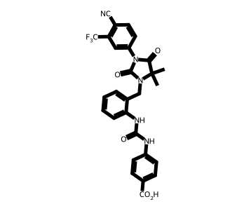 CC1(C)C(=O)N(c2ccc(C#N)c(C(F)(F)F)c2)C(=O)N1Cc1ccccc1NC(=O)Nc1ccc(C(=O)O)cc1